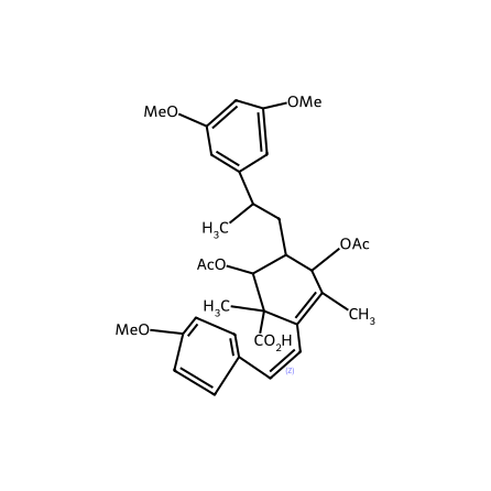 COc1ccc(/C=C\C2=C(C)C(OC(C)=O)C(CC(C)c3cc(OC)cc(OC)c3)C(OC(C)=O)C2(C)C(=O)O)cc1